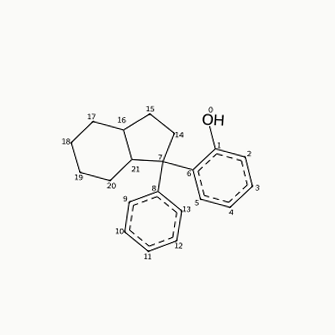 Oc1ccccc1C1(c2ccccc2)CCC2CCCCC21